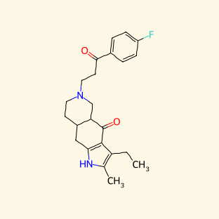 CCc1c(C)[nH]c2c1C(=O)C1CN(CCC(=O)c3ccc(F)cc3)CCC1C2